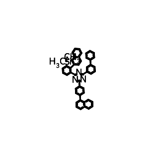 C[Si]1(C)c2cccc(-c3nc(-c4ccc(-c5cccc6ccccc56)cc4)nc(-c4cccc(-c5ccccc5)c4)n3)c2-c2ccc3ccccc3c21